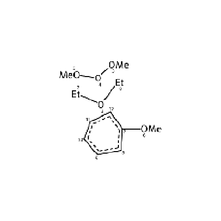 CCOCC.COOOC.COc1ccccc1